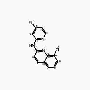 CCc1ccnc(Nc2ccc3cccc(Cl)c3n2)c1